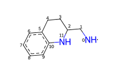 [NH]CC1CCc2ccccc2N1